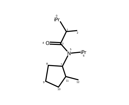 CC(C)C(C)C(=O)N(C(C)C)C1CCCC1C